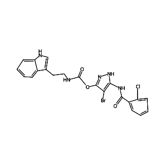 O=C(NCCc1c[nH]c2ccccc12)Oc1n[nH]c(NC(=O)c2ccccc2Cl)c1Br